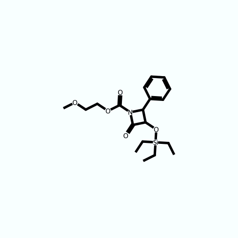 CC[Si](CC)(CC)OC1C(=O)N(C(=O)OCCOC)C1c1ccccc1